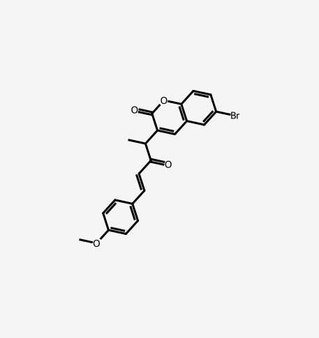 COc1ccc(C=CC(=O)C(C)c2cc3cc(Br)ccc3oc2=O)cc1